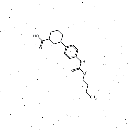 CCCCOC(=O)Nc1ccc(N2CCCC(C(=O)O)C2)cc1